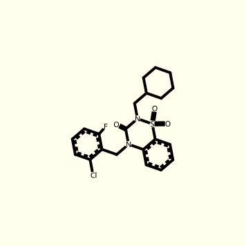 O=C1N(Cc2c(F)cccc2Cl)c2ccccc2S(=O)(=O)N1CC1CCCCC1